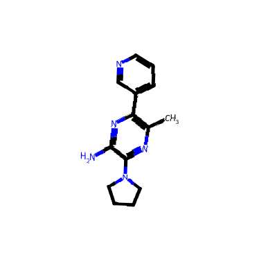 Cc1nc(N2CCCC2)c(N)nc1-c1cccnc1